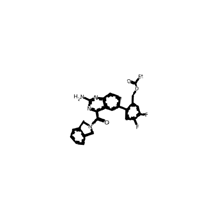 CCC(=O)OCc1cc(F)c(F)cc1-c1ccc2nc(N)nc(C(=O)N3Cc4ccccc4C3)c2c1